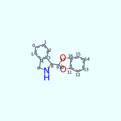 c1ccc2c(c1)CNC2[C]1Oc2ccccc2O1